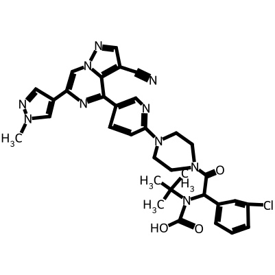 Cn1cc(-c2cn3ncc(C#N)c3c(-c3ccc(N4CCN(C(=O)C(c5cccc(Cl)c5)N(C(=O)O)C(C)(C)C)CC4)nc3)n2)cn1